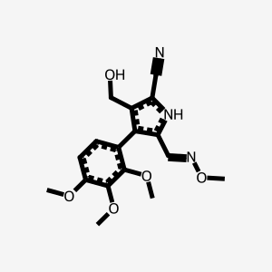 CO/N=C/c1[nH]c(C#N)c(CO)c1-c1ccc(OC)c(OC)c1OC